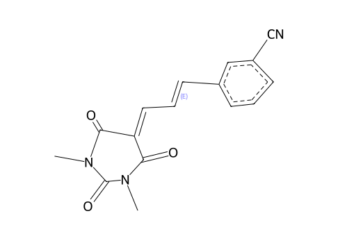 CN1C(=O)C(=C/C=C/c2cccc(C#N)c2)C(=O)N(C)C1=O